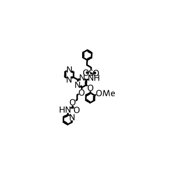 COc1ccccc1Oc1c(NS(=O)(=O)CCc2ccccc2)nc(-c2cnccn2)nc1OCCOC(=O)Nc1ccccn1